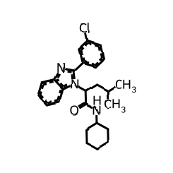 CC(C)CC(C(=O)NC1CCCCC1)n1c(-c2cccc(Cl)c2)nc2ccccc21